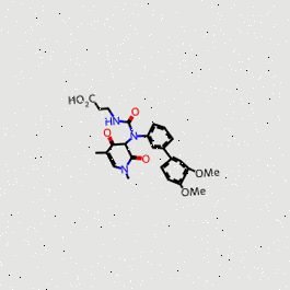 COc1ccc(-c2cccc(N(C(=O)NCCC(=O)O)C3C(=O)C(C)=CN(C)C3=O)c2)cc1OC